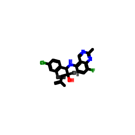 C=C(C)CC(O)(C(Nc1ccc(F)c2nc(C)ncc12)c1ccc(Cl)cc1OC)C(F)(F)F